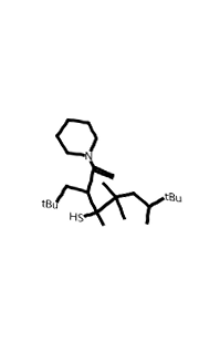 C=C(C(CC(C)(C)C)C(C)(S)C(C)(C)CC(C)C(C)(C)C)N1CCCCC1